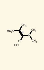 CC/C(=C(/C)C(=O)O)N(C)C.Cl